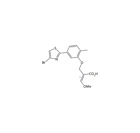 CO/C=C(/COc1cc(-c2nc(Br)cs2)ccc1C)C(=O)O